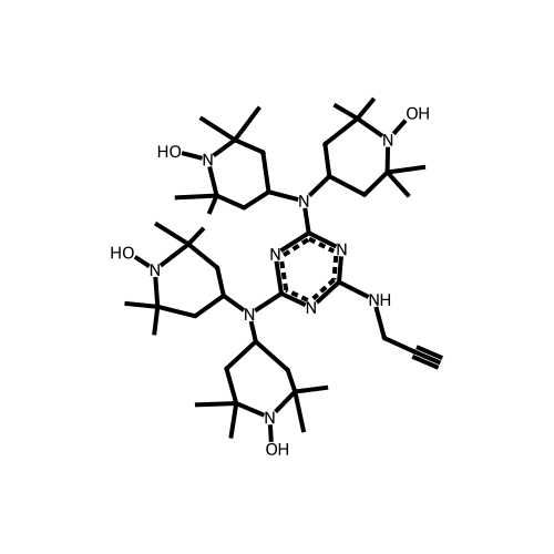 C#CCNc1nc(N(C2CC(C)(C)N(O)C(C)(C)C2)C2CC(C)(C)N(O)C(C)(C)C2)nc(N(C2CC(C)(C)N(O)C(C)(C)C2)C2CC(C)(C)N(O)C(C)(C)C2)n1